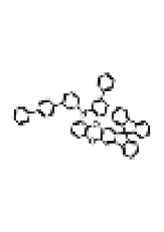 C1=CC(N(c2cccc(-c3ccccc3)c2)c2cccc3c2Oc2cc4c(cc2O3)-c2ccccc2C42c3ccccc3-c3ccccc32)CC(c2ccc(-c3ccccc3)cc2)=C1